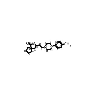 Cc1ccc(N2CCN(CCC3CC4(CCCC4)C(=O)O3)CC2)nc1